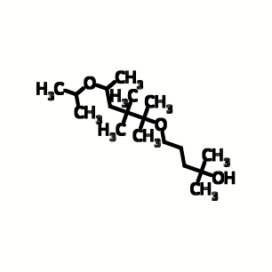 CC(C)OC(C)CC(C)(C)C(C)(C)OCCCC(C)(C)O